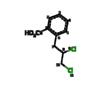 O=C(O)c1ccccc1CC(Cl)CCl